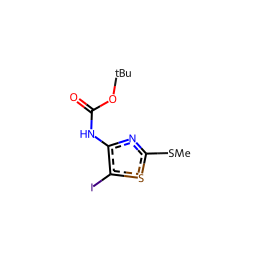 CSc1nc(NC(=O)OC(C)(C)C)c(I)s1